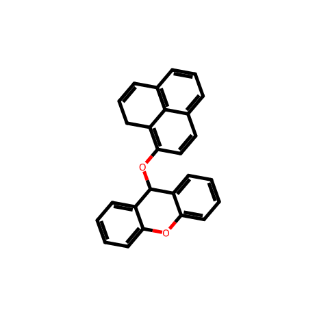 C1=Cc2cccc3ccc(OC4c5ccccc5Oc5ccccc54)c(c23)C1